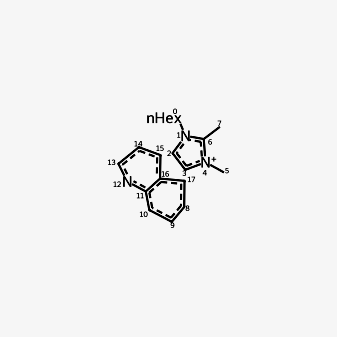 CCCCCCn1cc[n+](C)c1C.c1ccc2ncccc2c1